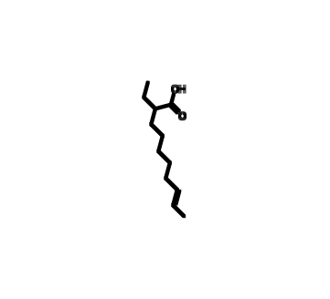 C/C=C/CCCCCC(CC)C(=O)O